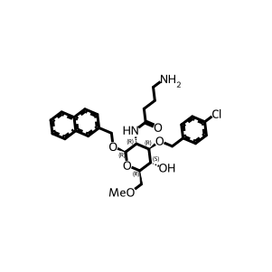 COC[C@H]1O[C@@H](OCc2ccc3ccccc3c2)[C@H](NC(=O)CCCN)[C@@H](OCc2ccc(Cl)cc2)[C@@H]1O